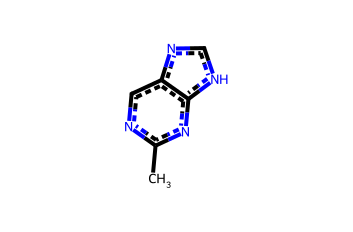 Cc1ncc2nc[nH]c2n1